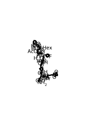 CCCCCCN(C(=O)[C@@H](NC(=O)[C@H]1CCCCN1C)[C@@H](C)CC)[C@H](C[C@@H](OC(C)=O)c1nc(C(=O)N[C@@H](Cc2ccc(F)cc2)C[C@H](C)C(=O)NNC(=O)OCc2ccc(NC(=O)[C@H](CCCNC(N)=O)NC(=O)[C@@H](NC(=O)CCCCCN3C(=O)C=CC3=O)C(C)C)cc2)cs1)C(C)C